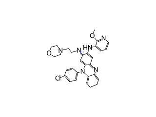 COc1ncccc1Nc1cc2nc3c(n(-c4ccc(Cl)cc4)c-2c/c1=N\CCN1CCOCC1)=CCCC=3